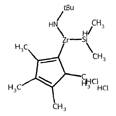 CC1=C(C)C(C)[C]([Zr]([NH]C(C)(C)C)[SiH](C)C)=C1C.Cl.Cl